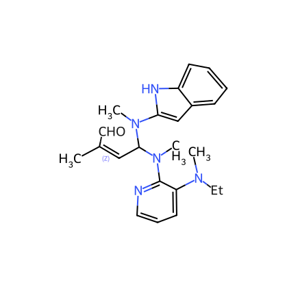 CCN(C)c1cccnc1N(C)C(/C=C(/C)C=O)N(C)c1cc2ccccc2[nH]1